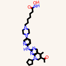 CC(=O)C1=C(C)c2cnc(Nc3ccc(N4CCN(CCCCCCC(=O)NO)CC4)cn3)nc2N(C2CCCC2)C1